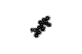 C[Si](C)(C)c1ccc(N(c2ccc3c(c2)C2(c4cc(N(c5ccc([Si](C)(C)C)cc5)c5cccc6c5oc5ccccc56)c5ccccc5c4-3)C3CC4CC(C3)CC2C4)c2cccc3c2oc2ccccc23)cc1